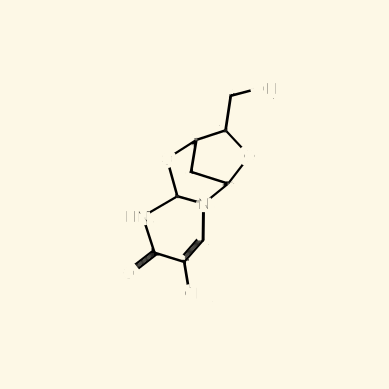 CC1=CN2C3CC(OC2NC1=O)C(CO)O3